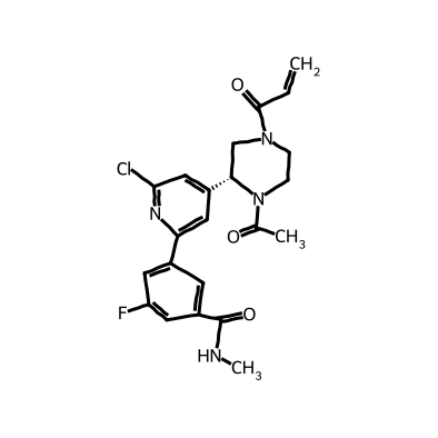 C=CC(=O)N1CCN(C(C)=O)[C@H](c2cc(Cl)nc(-c3cc(F)cc(C(=O)NC)c3)c2)C1